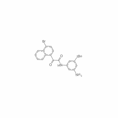 CC(C)(C)c1cc(N)cc(NC(=O)C(=O)c2ccc(Br)c3ccccc23)c1